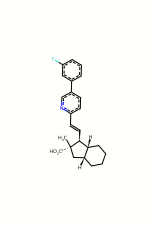 C[C@]1(C(=O)O)C[C@H]2CCCC[C@H]2[C@@H]1/C=C/c1ccc(-c2cccc(F)c2)cn1